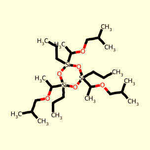 CCC[Si]1(C(C)OCC(C)C)O[Si](CCC)(C(C)OCC(C)C)O[Si](CCC)(C(C)OCC(C)C)O1